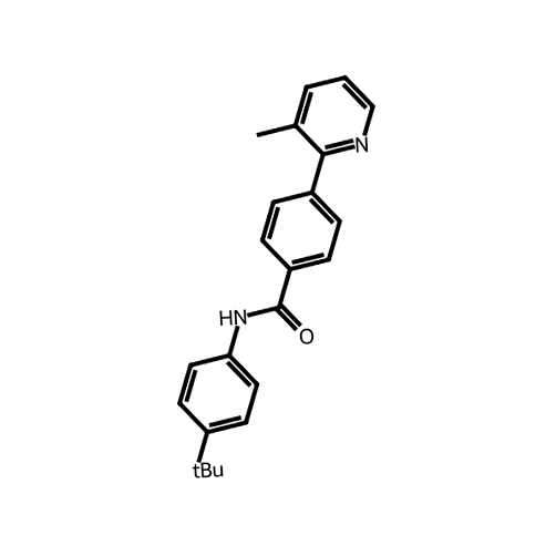 Cc1cccnc1-c1ccc(C(=O)Nc2ccc(C(C)(C)C)cc2)cc1